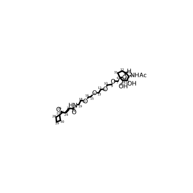 CC(=O)N[C@H]1[C@@H](O)[C@@H](O)[C@]2(COCCOCCOCCOCCNC(=O)/C=C/C(=O)C3CCC3)CC[C@H]1O2